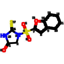 O=C1CN(S(=O)(=O)c2cc3ccccc3o2)C(=S)N1